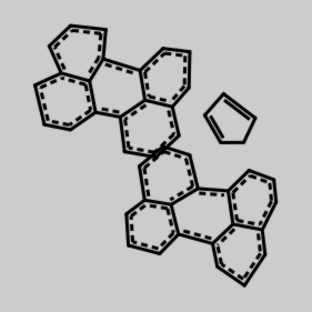 C1=CCC=C1.c1cc2cccc3c4cccc5cccc(c(c1)c23)c54.c1cc2cccc3c4cccc5cccc(c(c1)c23)c54